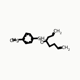 C=CCCC(CC=C)O[SiH2]c1cc[c]([Mg][Cl])cc1